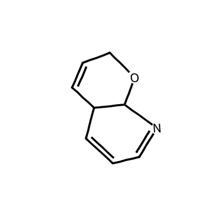 C1=CC2C=CCOC2N=C1